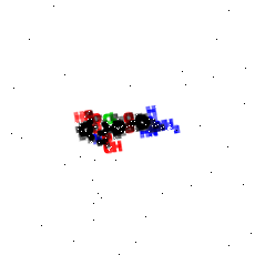 CC(CC(=O)N(CC(=O)O)Cc1cccc(C(=O)O)c1)c1ccc(OC(=O)c2ccc(NC(=N)N)cc2)cc1Cl